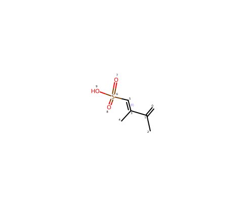 C=C(C)/C(C)=C/S(=O)(=O)O